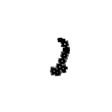 CC(C)(C)c1ccc(-c2nnc(-c3ccc(-c4ccc(-c5ccc(-c6cccc7ccccc67)c6ccccc56)cc4)cc3)o2)cc1